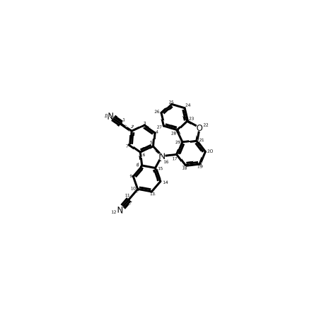 N#Cc1ccc2c(c1)c1cc(C#N)ccc1n2-c1cccc2oc3ccccc3c12